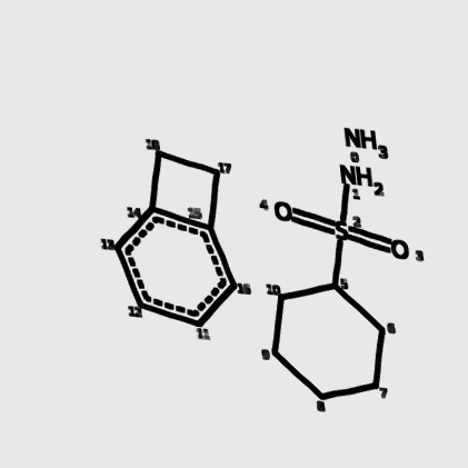 N.NS(=O)(=O)C1CCCCC1.c1ccc2c(c1)CC2